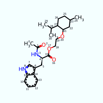 CC(=O)N[C@H](Cc1c[nH]c2ccccc12)C(=O)OCCOC1CC(C)CCC1C(C)C